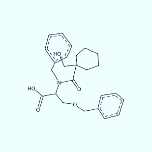 O=C(O)C(COCc1ccccc1)N(Cc1ccccc1)C(=O)C1(CO)CCCCC1